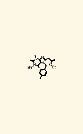 C=C(Cc1nc2c(n1Cc1ccc(C)cc1)C(=O)N(CCC)C(=C)N2C)OCC